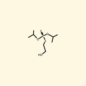 CC(C)OP(=S)(OC(C)C)SCCO